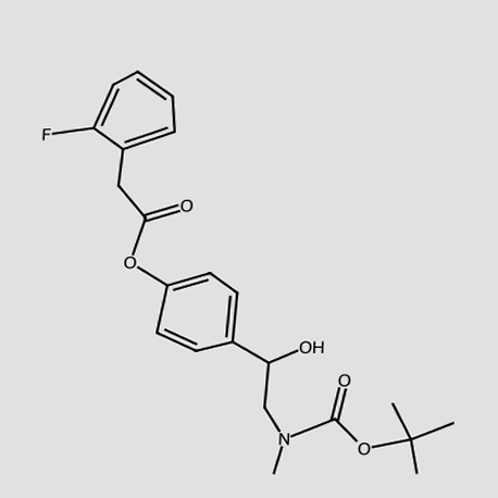 CN(CC(O)c1ccc(OC(=O)Cc2ccccc2F)cc1)C(=O)OC(C)(C)C